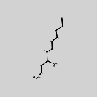 CCCCCCOC(N)CCN